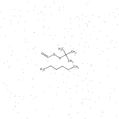 CC(C)(C)OOC=O.CCCCCC